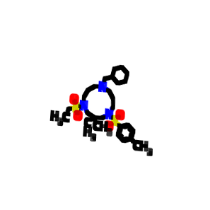 CCS(=O)(=O)N1CCCN(CC2CCCCC2)CCCN(S(=O)(=O)c2ccc(C)cc2)CC(C)(C)C1